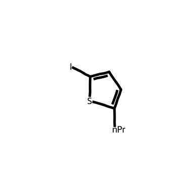 CCCc1ccc(I)s1